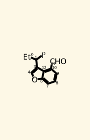 CCC(I)c1coc2cccc(C=O)c12